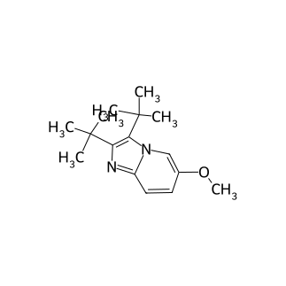 COc1ccc2nc(C(C)(C)C)c(C(C)(C)C)n2c1